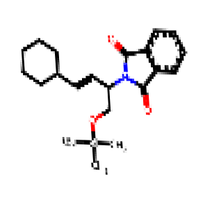 CC(C)(C)[Si](C)(C)OC[C@@H](C=CC1CCCCC1)N1C(=O)c2ccccc2C1=O